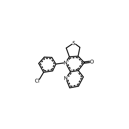 O=c1c2c(n(-c3cccc(Cl)c3)c3ncccc13)CSC2